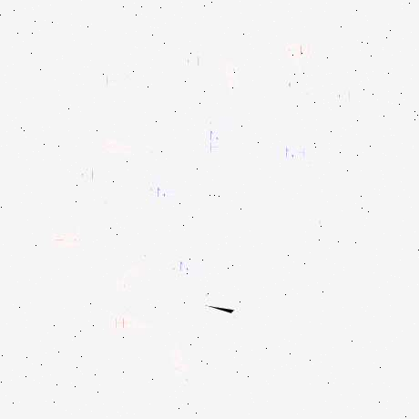 CC(C)[C@H](NC(=O)[C@@H](N)[C@@H](C)O)C(=O)N[C@H](C(=O)N[C@@H](Cc1ccccc1)C(=O)O)[C@@H](C)O